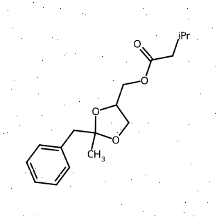 CC(C)CC(=O)OCC1COC(C)(Cc2ccccc2)O1